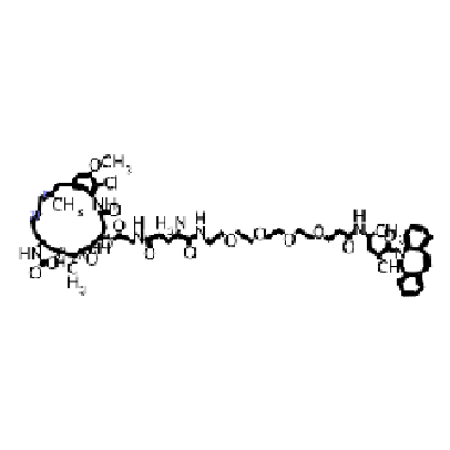 COc1cc2cc(c1Cl)NC(=O)C[C@H](OC(=O)CNC(=O)CCC(N)C(=O)NCCOCCOCCOCCOCCC(=O)NC(C)CC(C)C(=O)N1Cc3ccccc3C#Cc3ccccc31)[C@@H]1OC1[C@H](C)[C@@H]1CC(C/C=C/C=C(\C)C2)NC(=O)O1